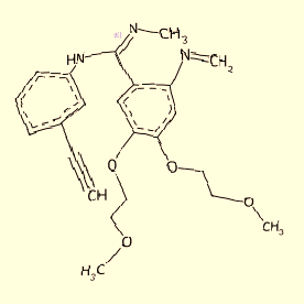 C#Cc1cccc(N/C(=N/C)c2cc(OCCOC)c(OCCOC)cc2N=C)c1